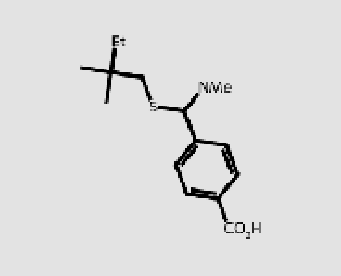 CCC(C)(C)CSC(NC)c1ccc(C(=O)O)cc1